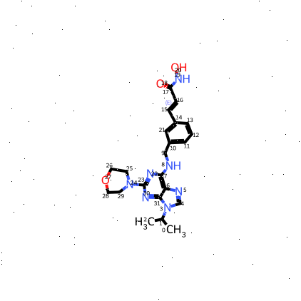 CC(C)n1cnc2c(NCc3cccc(/C=C/C(=O)NO)c3)nc(N3CCOCC3)nc21